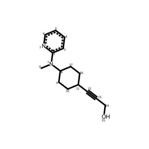 CN(c1ccccn1)C1CCC(C#CCO)CC1